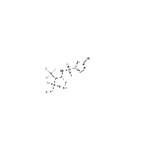 O=S(=O)(N[C@H](CO)C(C(F)(F)F)C(F)(F)CF)c1ccc(Cl)s1